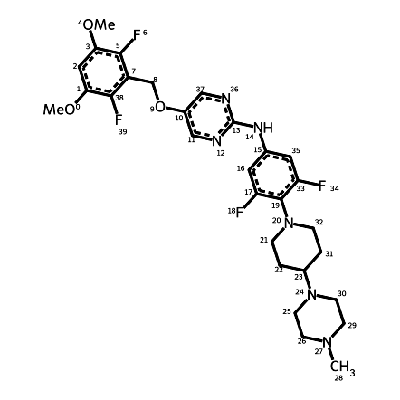 COc1cc(OC)c(F)c(COc2cnc(Nc3cc(F)c(N4CCC(N5CCN(C)CC5)CC4)c(F)c3)nc2)c1F